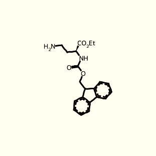 CCOC(=O)[C@H](CCN)NC(=O)OCC1c2ccccc2-c2ccccc21